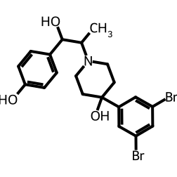 CC(C(O)c1ccc(O)cc1)N1CCC(O)(c2cc(Br)cc(Br)c2)CC1